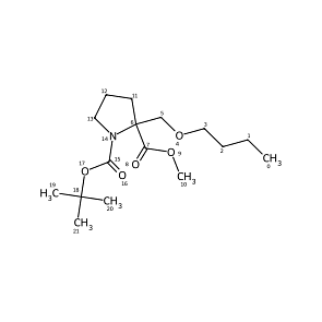 CCCCOCC1(C(=O)OC)CCCN1C(=O)OC(C)(C)C